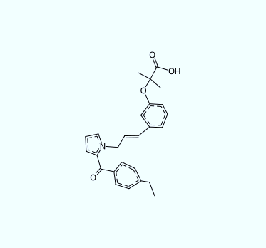 CCc1ccc(C(=O)c2cccn2C/C=C/c2cccc(OC(C)(C)C(=O)O)c2)cc1